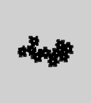 c1ccc(-c2nc(-c3ccccc3)nc(-c3cccc4c3oc3ccc(-n5c6ccccc6c6cc7c(cc65)-c5ccccc5C75c6ccccc6-c6ccccc65)cc34)n2)cc1